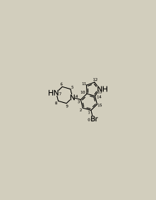 Brc1cc(N2CCNCC2)c2cc[nH]c2c1